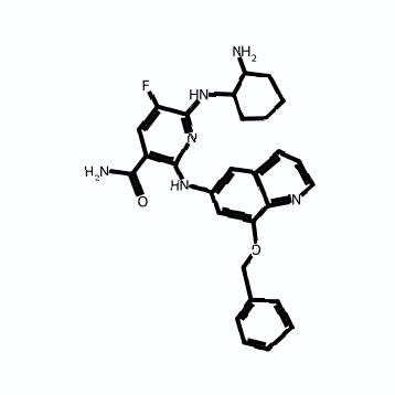 NC(=O)c1cc(F)c(NC2CCCCC2N)nc1Nc1cc(OCc2ccccc2)c2ncccc2c1